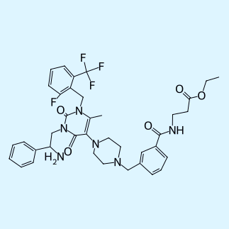 CCOC(=O)CCNC(=O)c1cccc(CN2CCN(c3c(C)n(Cc4c(F)cccc4C(F)(F)F)c(=O)n(CC(N)c4ccccc4)c3=O)CC2)c1